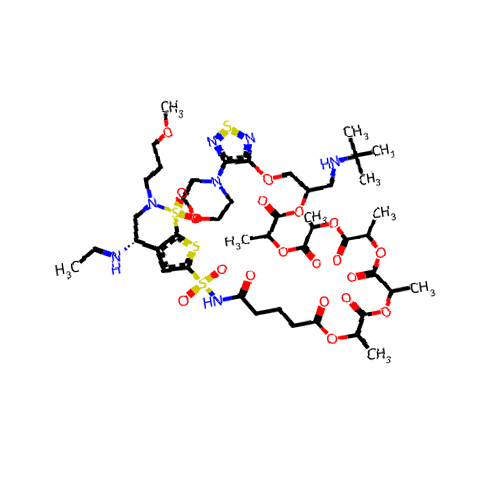 CCN[C@@H]1CN(CCCOC)S(=O)(=O)c2sc(S(=O)(=O)NC(=O)CCCC(=O)OC(C)C(=O)OC(C)C(=O)OC(C)C(=O)OC(C)C(=O)OC(C)C(=O)OC(CNC(C)(C)C)COc3nsnc3N3CCOCC3)cc21